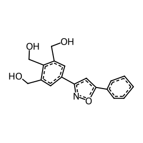 OCc1cc(-c2cc(-c3ccccc3)on2)cc(CO)c1CO